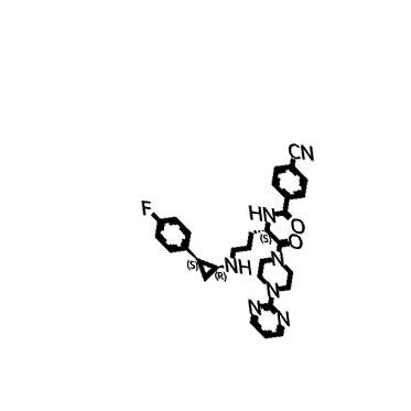 N#Cc1ccc(C(=O)N[C@@H](CCCN[C@@H]2C[C@H]2c2ccc(F)cc2)C(=O)N2CCN(c3ncccn3)CC2)cc1